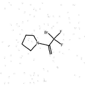 C=C(N1CCCC1)C(F)(F)Br